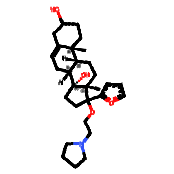 C[C@]12CCC(O)CC1=CC[C@@H]1[C@H]2CC[C@]2(C)C(OCCN3CCCC3)(c3ccco3)CC[C@@]12O